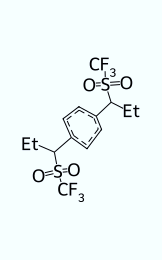 CCC(c1ccc(C(CC)S(=O)(=O)C(F)(F)F)cc1)S(=O)(=O)C(F)(F)F